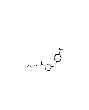 CCCC(F)OC(=O)N1CCC(Oc2ccc(C(=O)O)cc2)C1